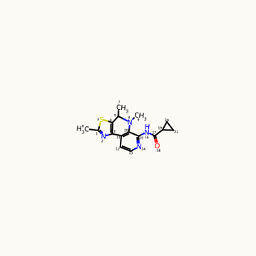 Cc1nc2c(s1)C(C)N(C)c1c-2ccnc1NC(=O)C1CC1